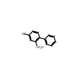 O=S(=O)(O)c1cc(Cl)ccc1-c1ccccc1